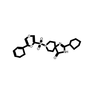 O=C1NC(C2CCCCC2)=NC12CCN(S(=O)(=O)C1=COC=C(C3=CC=CCC3)O1)CC2